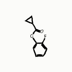 O=C(Oc1ccccc1F)C1CC1